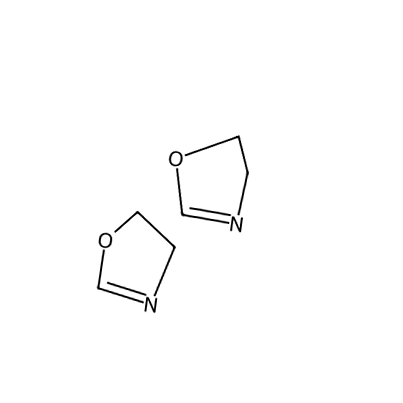 C1=NCCO1.C1=NCCO1